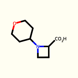 O=C(O)C1CCN1C1CCOCC1